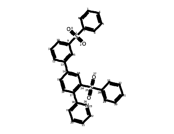 O=S(=O)(c1ccccc1)c1cccc(-c2ccc(-c3ccccn3)c(S(=O)(=O)c3ccccc3)c2)c1